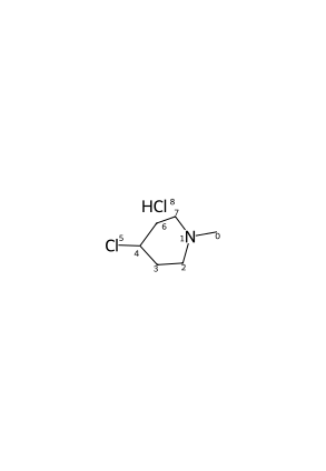 CN1CCC(Cl)CC1.Cl